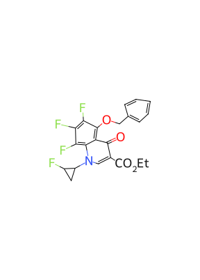 CCOC(=O)c1cn(C2CC2F)c2c(F)c(F)c(F)c(OCc3ccccc3)c2c1=O